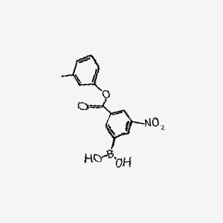 Cc1cccc(OC(=O)c2cc(B(O)O)cc([N+](=O)[O-])c2)c1